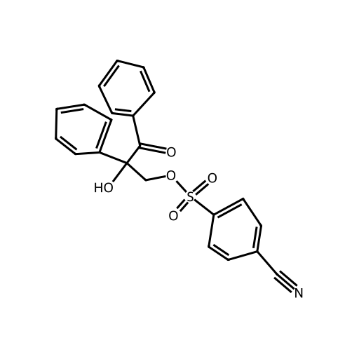 N#Cc1ccc(S(=O)(=O)OCC(O)(C(=O)c2ccccc2)c2ccccc2)cc1